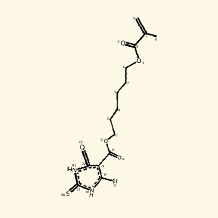 C=C(C)C(=O)OCCCCCCOC(=O)c1c(CC)[nH]c(=S)[nH]c1=O